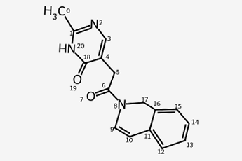 Cc1ncc(CC(=O)N2C=Cc3ccccc3C2)c(=O)[nH]1